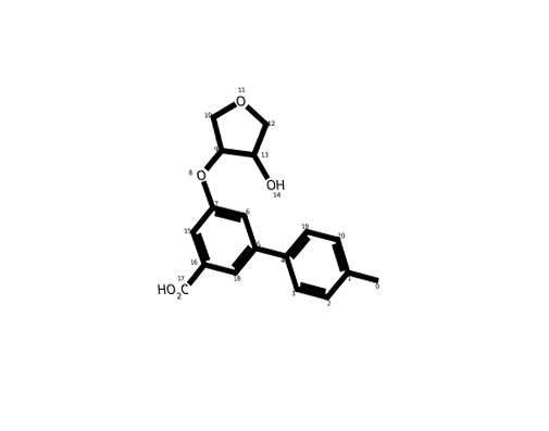 Cc1ccc(-c2cc(OC3COCC3O)cc(C(=O)O)c2)cc1